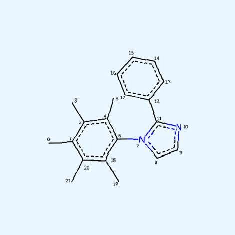 Cc1c(C)c(C)c(-n2ccnc2-c2ccccc2)c(C)c1C